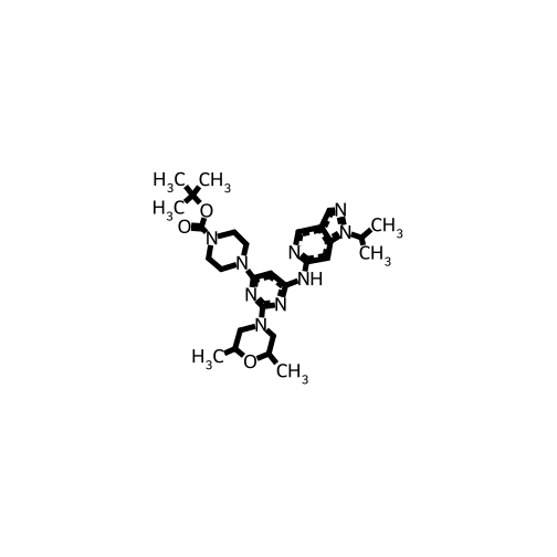 CC1CN(c2nc(Nc3cc4c(cn3)cnn4C(C)C)cc(N3CCN(C(=O)OC(C)(C)C)CC3)n2)CC(C)O1